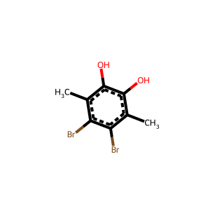 Cc1c(O)c(O)c(C)c(Br)c1Br